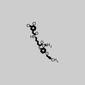 CC#CCOc1ccc(SC(CCCCNC(=O)Cc2ccc(Cl)c(Cl)c2)C(=O)ON)cc1